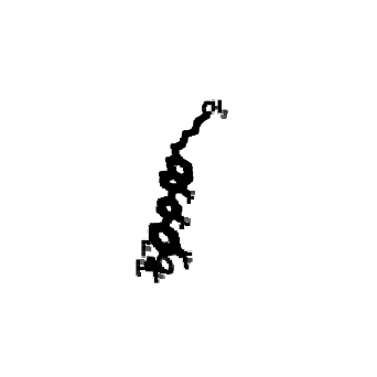 CCCCCCCc1ccc2c(F)c(-c3ccc(-c4ccc(OC(F)(F)F)c(F)c4)c(F)c3)ccc2c1